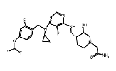 NC(=O)CN1CC[C@H](CNc2ncnc(N(Cc3ccc(OC(F)F)cc3F)C3CC3)c2F)[C@@H](O)C1